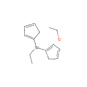 CC[O-].C[CH2][Ti+]([C]1=CC=CC1)[C]1=CC=CC1